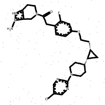 Nn1[nH]c2c1CN(C(=O)Cc1ccc(OCC[C@@H]3C[C@@H]3C3CCN(c4ncc(Cl)cn4)CC3)cc1F)CC2